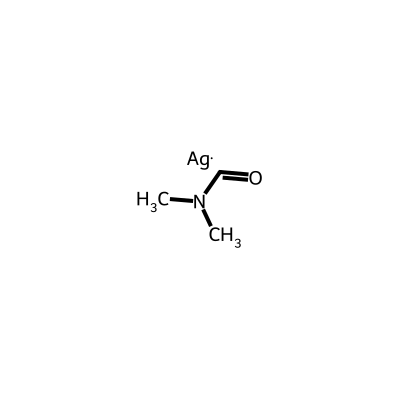 CN(C)C=O.[Ag]